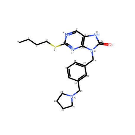 CCCCSc1ncc2[nH]c(=O)n(Cc3cccc(CN4CCCC4)c3)c2n1